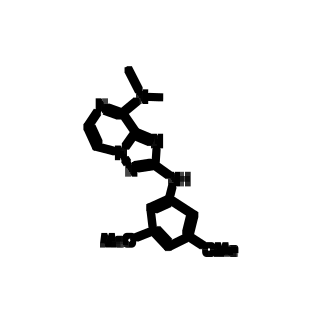 COc1cc(Nc2nc3c(N(C)C)nccn3n2)cc(OC)c1